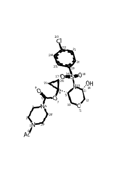 CC(=O)N1CCN(C(=O)OC2([C@H]3COC[C@@H](O)N3S(=O)(=O)c3ccc(Cl)cc3)CC2)CC1